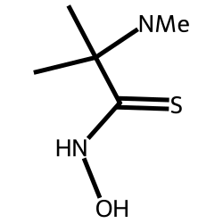 CNC(C)(C)C(=S)NO